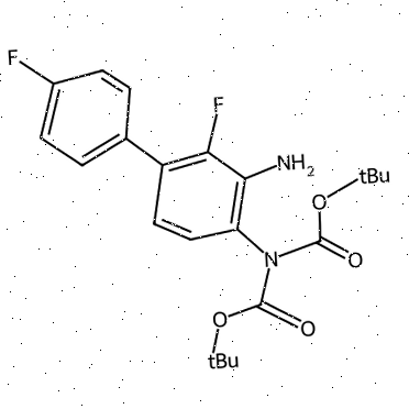 CC(C)(C)OC(=O)N(C(=O)OC(C)(C)C)c1ccc(-c2ccc(F)cc2)c(F)c1N